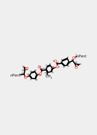 CCCCCOC(c1ccc(C(=O)Oc2ccc(C(=O)Oc3ccc(OC(CCCCC)C4CO4)cc3)c(C)c2)cc1)C1CO1